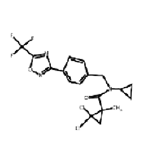 CC1(C(=O)N(Cc2ccc(-c3noc(C(F)(F)F)n3)cc2)C2CC2)CC1(Cl)Cl